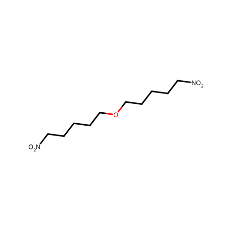 O=[N+]([O-])CCCCCOCCCCC[N+](=O)[O-]